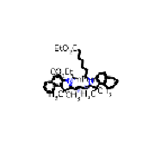 CCCCCC(C(=O)OCC)[N+]1=C(/C=C/C=C2\N(CCCCCCC(=O)OCC)c3ccc4ccccc4c3C2(C)C)C(C)(C)c2c1ccc1ccccc21